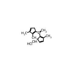 Cl.Cl.[CH2]=[Zr]([C]1=C(C)C=CC1)[C]1=C(C)C(C)=CC1